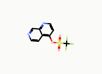 O=S(=O)(Oc1ccnc2cnccc12)C(F)(F)F